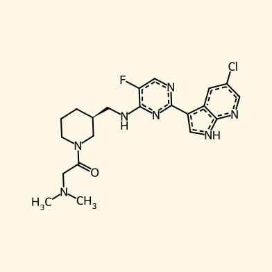 CN(C)CC(=O)N1CCC[C@@H](CNc2nc(-c3c[nH]c4ncc(Cl)cc34)ncc2F)C1